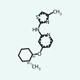 Cc1csc(Nc2cc(O[C@@H]3CCCC[C@H]3C)ccn2)n1